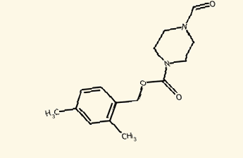 Cc1ccc(COC(=O)N2CCN(C=O)CC2)c(C)c1